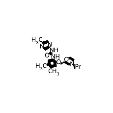 Cc1cnc(NC(=O)Nc2cc(C)c(C)cc2OC[C@@H]2CN(C(C)C)CCO2)cn1